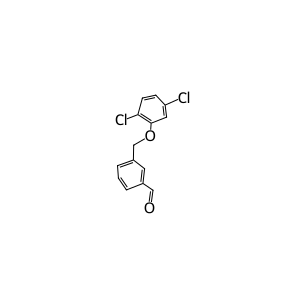 O=Cc1cccc(COc2cc(Cl)ccc2Cl)c1